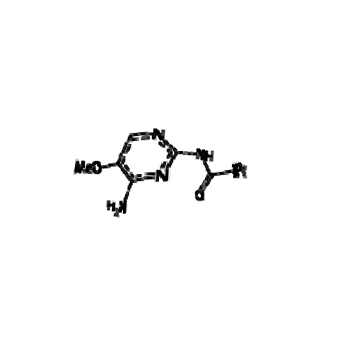 COc1cnc(NC(=O)C(C)C)nc1N